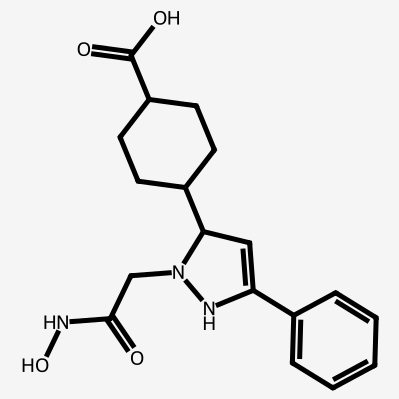 O=C(CN1NC(c2ccccc2)=CC1C1CCC(C(=O)O)CC1)NO